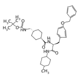 CC1CCC(NC(=O)[C@H](Cc2ccc(OCc3ccccc3)cc2)NC(=O)[C@H]2CC[C@H](CNC(=O)OC(C)(C)C)CC2)CC1